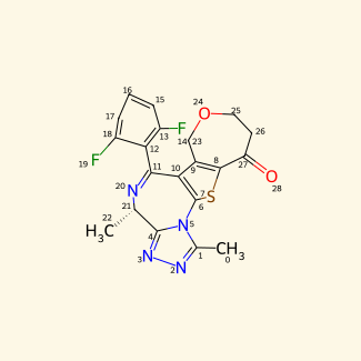 Cc1nnc2n1-c1sc3c(c1C(c1c(F)cccc1F)=N[C@H]2C)COCCC3=O